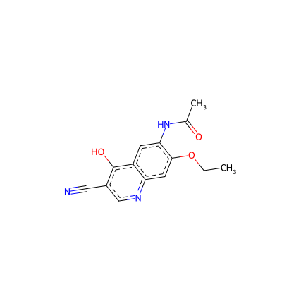 CCOc1cc2ncc(C#N)c(O)c2cc1NC(C)=O